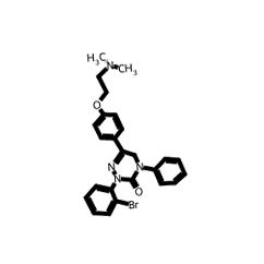 CN(C)CCOc1ccc(C2=NN(c3ccccc3Br)C(=O)N(c3ccccc3)C2)cc1